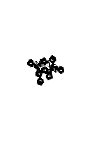 C1=Cc2c(c3ccccc3n2-c2nc(-c3ccccc3)nc(-c3ccccc3Sc3cccc(-c4nc(-c5ccccc5)nc(-c5ccc(-c6ccccc6)cc5)n4)c3)n2)CC1